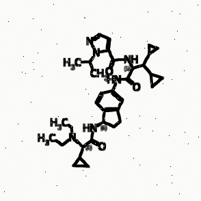 CCN(CC)[C@@H](C(=O)N[C@@H]1CCc2cc(NC(=O)[C@@H](NC(=O)c3ccnn3C(C)C)C(C3CC3)C3CC3)ccc21)C1CC1